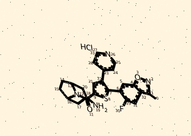 Cc1noc2cc(-c3sc(C(=O)N4C5CCC4CC(N)C5)cc3-c3ccncc3)c(F)cc12.Cl